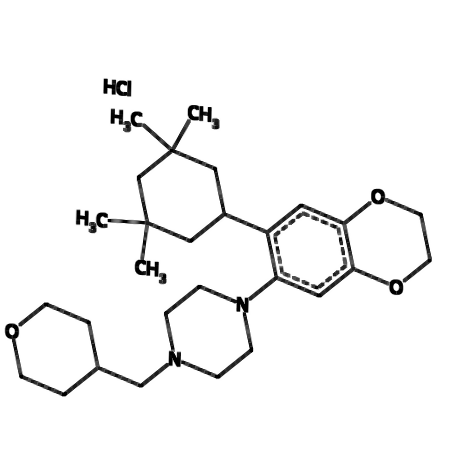 CC1(C)CC(c2cc3c(cc2N2CCN(CC4CCOCC4)CC2)OCCO3)CC(C)(C)C1.Cl